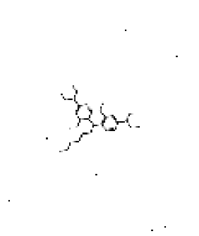 CCCCCCC(c1ccc(N(CC)CC)cc1CC)c1ccc(N(CC)CC)cc1CC